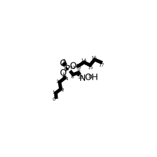 CCCCCOP(=O)(CC=NO)OCCCCC